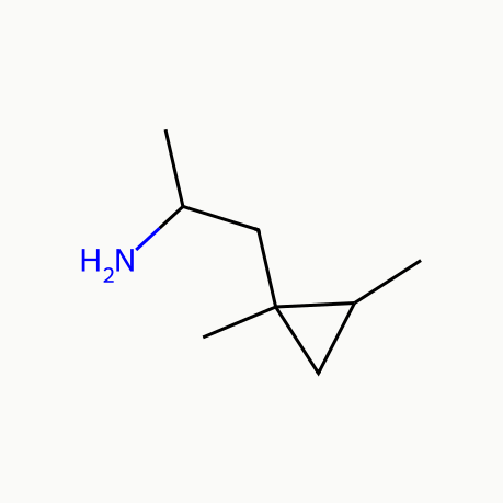 CC(N)CC1(C)CC1C